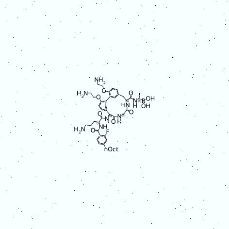 CCCCCCCCc1ccc(C(=O)N[C@@H](CCCN)C(=O)N(C)[C@@H]2C(=O)N[C@@H](C)C(=O)N[C@H](C(=O)N[C@@H](C)B(O)O)Cc3ccc(OCCN)c(c3)-c3cc2ccc3OCCN)c(F)c1